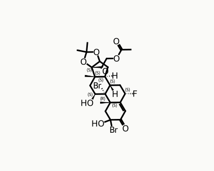 CC(=O)OCC(=O)[C@@]12OC(C)(C)OC1C[C@H]1[C@@H]3C[C@H](F)C4=CC(=O)C(O)(Br)C[C@]4(C)[C@@]3(Br)[C@@H](O)C[C@@]12C